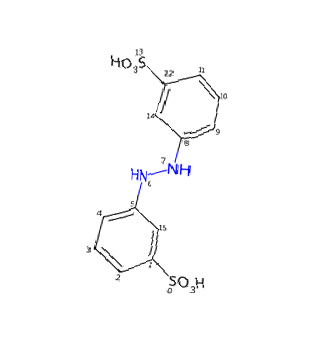 O=S(=O)(O)c1cccc(NNc2cccc(S(=O)(=O)O)c2)c1